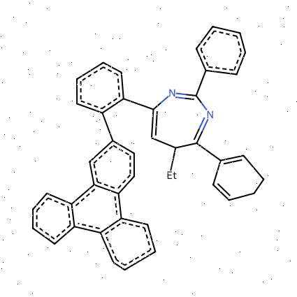 CCC1C=C(c2ccccc2-c2ccc3c4ccccc4c4ccccc4c3c2)N=C(c2ccccc2)N=C1C1=CCCC=C1